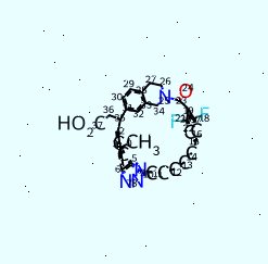 Cc1c2ccc3c1nnn3CCCCCc1cc(F)c(c(F)c1)C(=O)N1CCc3ccc(cc3C1)C2CC(=O)O